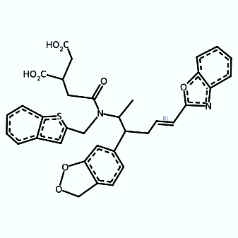 CC(C(C/C=C/c1nc2ccccc2o1)c1ccc2c(c1)OOC2)N(Cc1cc2ccccc2s1)C(=O)CC(CC(=O)O)C(=O)O